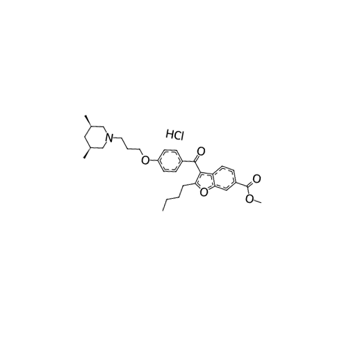 CCCCc1oc2cc(C(=O)OC)ccc2c1C(=O)c1ccc(OCCCN2C[C@H](C)C[C@H](C)C2)cc1.Cl